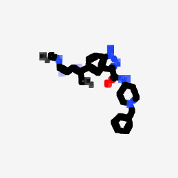 C=N/C=C\C=C(/C)c1ccc2[nH]nc(C(=O)NC3CCN(Cc4ccccc4)CC3)c2c1